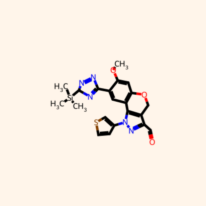 COc1cc2c(cc1C1=NC([Si](C)(C)C)N=N1)-c1c(c(C=O)nn1-c1ccsc1)CO2